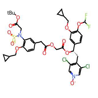 CC(C)(C)OC(=O)CN(c1cc(CC(=O)OCC(=O)O[C@@H](Cc2c(Cl)c[n+]([O-])cc2Cl)c2ccc(OC(F)F)c(OCC3CC3)c2)ccc1OCC1CC1)[SH](=O)=O